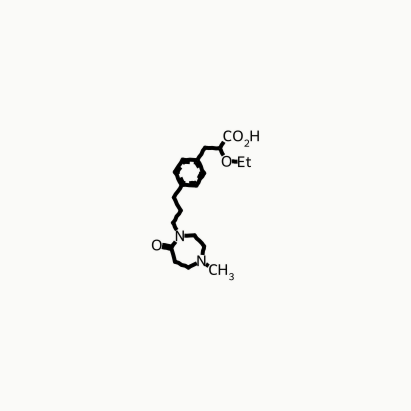 CCOC(Cc1ccc(CCCN2CCN(C)CCC2=O)cc1)C(=O)O